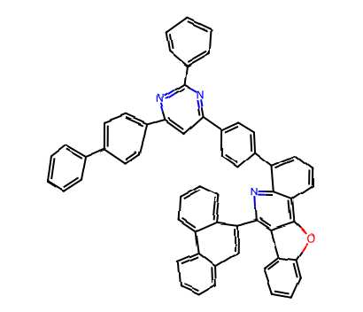 c1ccc(-c2ccc(-c3cc(-c4ccc(-c5cccc6c5nc(-c5cc7ccccc7c7ccccc57)c5c7ccccc7oc65)cc4)nc(-c4ccccc4)n3)cc2)cc1